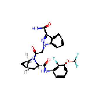 NC(=O)c1nn(CC(=O)N2[C@@H]3C[C@@H]3C[C@H]2C(=O)Nc2cccc(OC(F)F)c2F)c2ccccc12